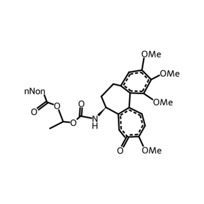 CCCCCCCCCC(=O)OC(C)OC(=O)N[C@H]1CCc2cc(OC)c(OC)c(OC)c2-c2ccc(OC)c(=O)cc21